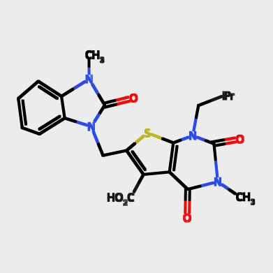 CC(C)Cn1c(=O)n(C)c(=O)c2c(C(=O)O)c(Cn3c(=O)n(C)c4ccccc43)sc21